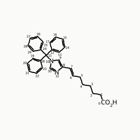 O=C(O)CCCCCC=Cc1cn(C(c2ccccc2)(c2ccccc2)c2ccccc2)cn1